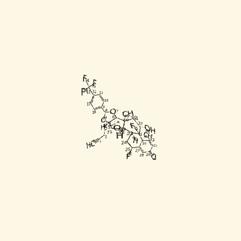 C#CCSC(=O)[C@@]12OC(c3ccc(C(F)(F)F)cc3)O[C@@H]1C[C@H]1[C@@H]3C[C@H](F)C4=CC(=O)C=C[C@]4(C)[C@@]3(F)[C@@H](O)C[C@@]12C